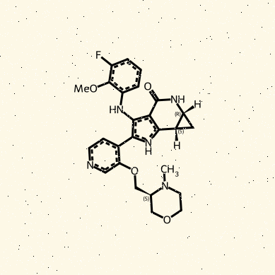 COc1c(F)cccc1Nc1c(-c2ccncc2OC[C@@H]2COCCN2C)[nH]c2c1C(=O)N[C@@H]1C[C@H]21